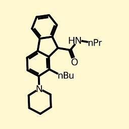 CCCCc1c(N2CCCCC2)ccc2c1C(C(=O)NCCC)c1ccccc1-2